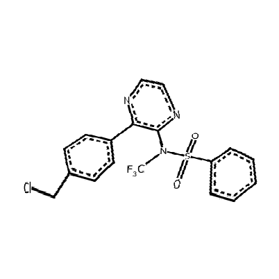 O=S(=O)(c1ccccc1)N(c1nccnc1-c1ccc(CCl)cc1)C(F)(F)F